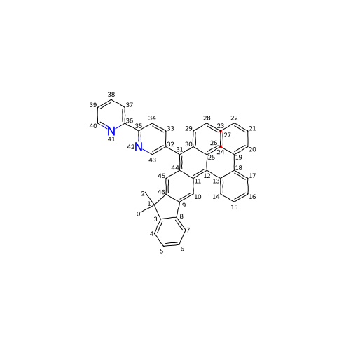 CC1(C)c2ccccc2-c2cc3c(-c4ccccc4-c4ccccc4)c4ccccc4c(-c4ccc(-c5ccccn5)nc4)c3cc21